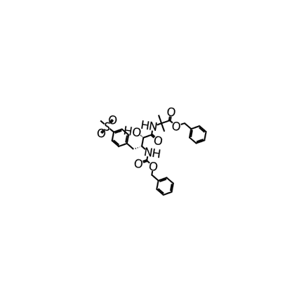 CC(C)(NC(=O)[C@@H](O)[C@@H](Cc1ccc(S(C)(=O)=O)cc1)NC(=O)OCc1ccccc1)C(=O)OCc1ccccc1